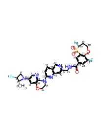 C[C@@H]1[C@@H](F)CN1c1cnc2c(c1)OCCN2c1ccc2cnc(CNC(=O)c3cc(F)c4c(c3)S(=O)(=O)[C@@H](F)CCO4)cc2n1